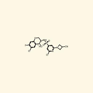 N#CC1CN(c2cc(S(=O)(=O)N[C@@H]3COc4cc(F)c(Cl)cc4[C@@H]3O)cc(Cl)n2)C1